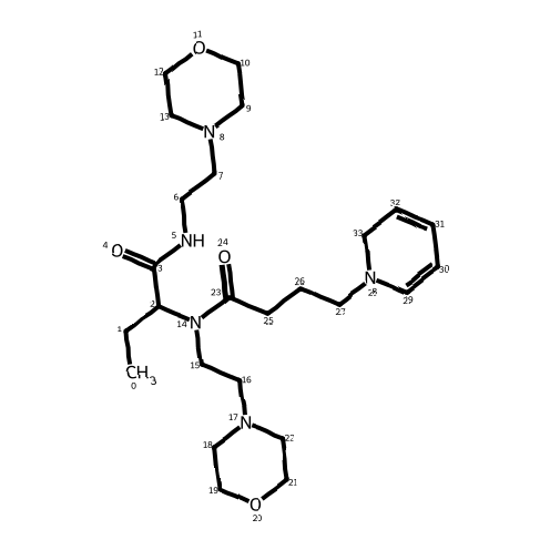 CCC(C(=O)NCCN1CCOCC1)N(CCN1CCOCC1)C(=O)CCCN1C=CC=CC1